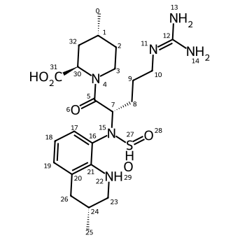 C[C@@H]1CCN(C(=O)[C@H](CCCN=C(N)N)N(c2cccc3c2NC[C@H](C)C3)[SH](=O)=O)[C@@H](C(=O)O)C1